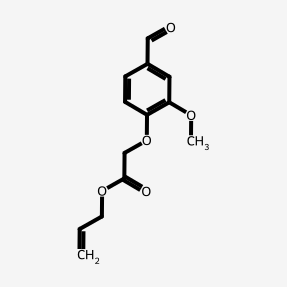 C=CCOC(=O)COc1ccc(C=O)cc1OC